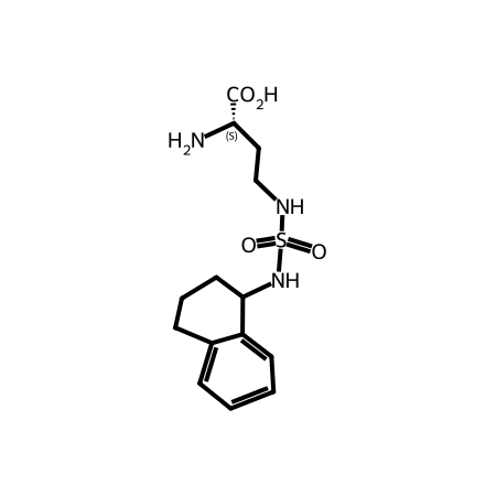 N[C@@H](CCNS(=O)(=O)NC1CCCc2ccccc21)C(=O)O